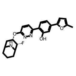 Cc1ccc(-c2ccc(-c3ccc(O[C@H]4CC5CCCC(N5)[C@H]4F)nn3)c(O)c2)o1